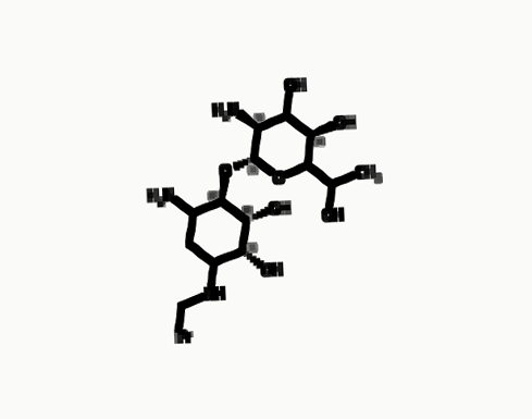 CC(C)CNC1CC(N)[C@@H](O[C@H]2OC(C(C)O)[C@H](O)C(O)[C@@H]2N)[C@H](O)[C@@H]1O